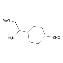 CNCC(N)C1CCC(C=O)CC1